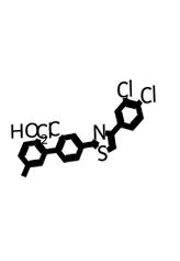 Cc1ccc(Cl)c(-c2ccc(-c3nc(-c4ccc(Cl)c(Cl)c4)cs3)cc2C(=O)O)c1